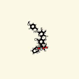 COc1ccc(CNc2nc(-c3c(Cl)cc4c(N5CC6CCC(C5)N6C(=O)OC(C)(C)C)nc(F)nc4c3F)c(I)c(C)c2F)cc1